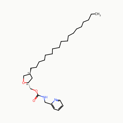 CCCCCCCCCCCCCCCCCC[C@@H]1CO[C@@H](COC(=O)NCc2ccccn2)C1